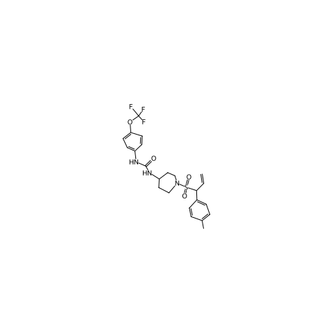 C=CC(c1ccc(C)cc1)S(=O)(=O)N1CCC(NC(=O)Nc2ccc(OC(F)(F)F)cc2)CC1